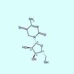 NC1=NC(=O)N([C@@H]2O[C@H](CO)[C@@H](O)[C@H]2O)CC1=[Se]